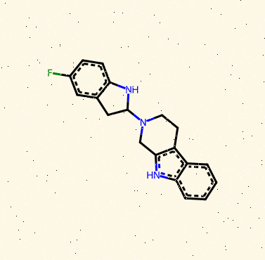 Fc1ccc2c(c1)CC(N1CCc3c([nH]c4ccccc34)C1)N2